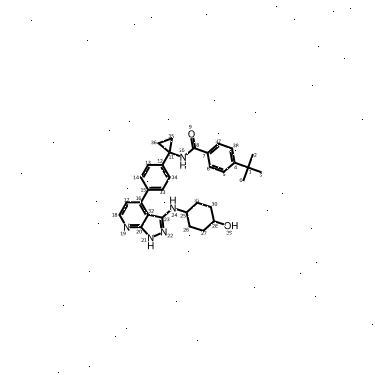 CC(C)(C)c1ccc(C(=O)NC2(c3ccc(-c4ccnc5[nH]nc(NC6CCC(O)CC6)c45)cc3)CC2)cc1